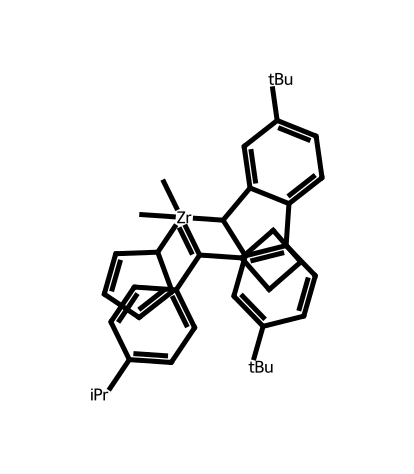 CC(C)c1ccc([C](C2CCC2)=[Zr]([CH3])([CH3])([CH]2C=CC=C2)[CH]2c3cc(C(C)(C)C)ccc3-c3ccc(C(C)(C)C)cc32)cc1